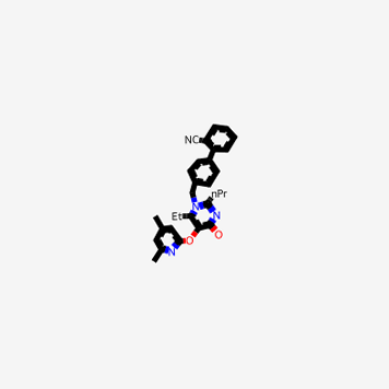 CCCc1nc(=O)c(Oc2cc(C)cc(C)n2)c(CC)n1Cc1ccc(-c2ccccc2C#N)cc1